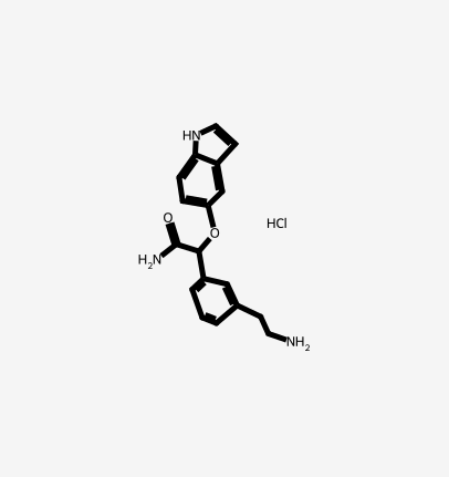 Cl.NCCc1cccc(C(Oc2ccc3[nH]ccc3c2)C(N)=O)c1